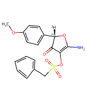 [2H][C@@]1(c2ccc(OC)cc2)OC(N)=C(OS(=O)(=O)Cc2ccccc2)C1=O